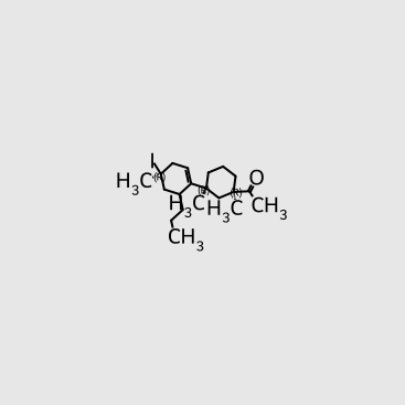 CCCC1C[C@@](C)(I)CC=C1[C@]1(C)CCC[C@@](C)(C(C)=O)C1